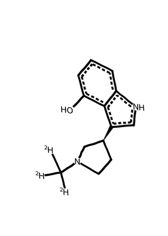 [2H]C([2H])([2H])N1CC[C@H](c2c[nH]c3cccc(O)c23)C1